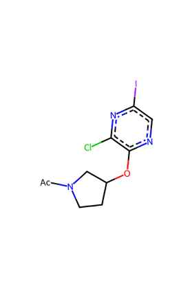 CC(=O)N1CCC(Oc2ncc(I)nc2Cl)C1